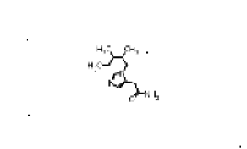 CCC(C)C(C)Cn1cncc1CC(N)=O